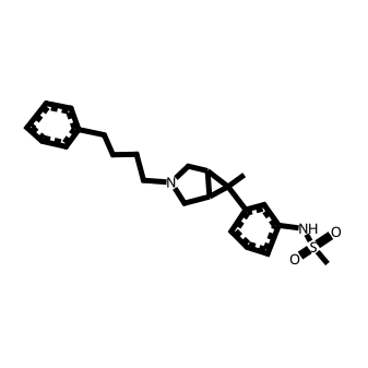 CC1(c2cccc(NS(C)(=O)=O)c2)C2CN(CCCCc3ccccc3)CC21